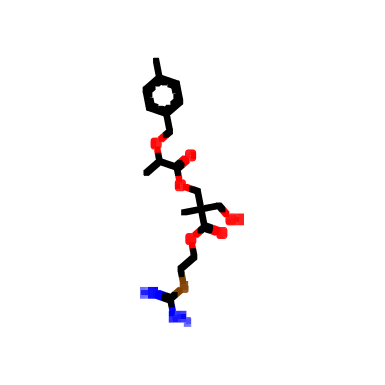 Cc1ccc(COC(C)C(=O)OCC(C)(CO)C(=O)OCCSC(=N)N)cc1